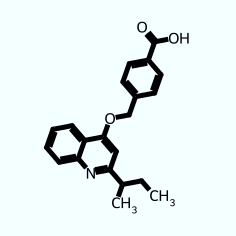 CCC(C)c1cc(OCc2ccc(C(=O)O)cc2)c2ccccc2n1